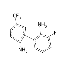 Nc1ccc(C(F)(F)F)cc1-c1cccc(F)c1N